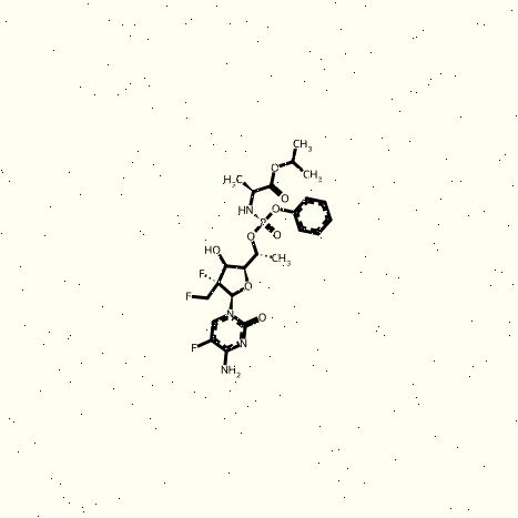 CC(C)OC(=O)[C@H](C)N[P@@](=O)(Oc1ccccc1)O[C@H](C)[C@H]1O[C@@H](n2cc(F)c(N)nc2=O)[C@@](F)(CF)C1O